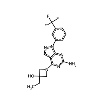 CCC1(O)CN(c2nc(N)nc3c2cnn3-c2cccc(C(F)(F)F)c2)C1